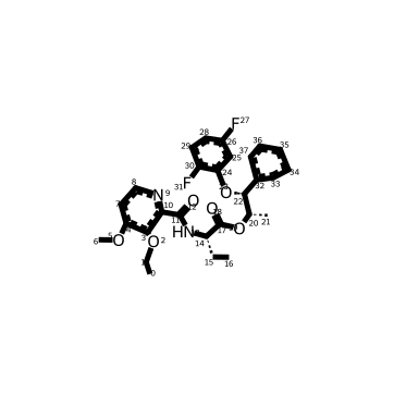 CCOc1c(OC)ccnc1C(=O)N[C@@H](CC)C(=O)O[C@@H](C)[C@H](Oc1cc(F)ccc1F)c1ccccc1